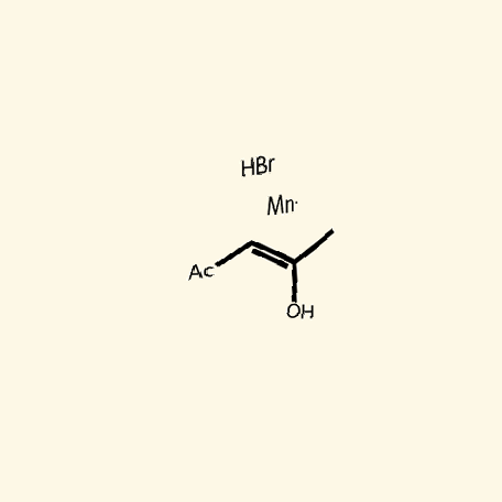 Br.CC(=O)/C=C(/C)O.[Mn]